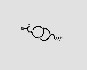 CCC(=O)CN1CCCN2CCN(CCCN(CC(=O)O)CC2)CC1